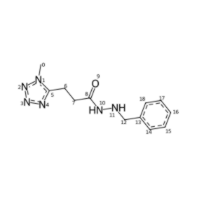 Cn1nnnc1CCC(=O)NNCc1ccccc1